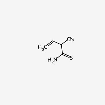 C=CC(C#N)C(N)=S